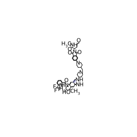 CNC(=O)C(CCC=O)N1C(=O)c2ccc(N3CCC(CN4CCC(N/C=C5/C=C(NC(=O)c6cccc(C(F)(F)F)n6)C(C(C)(C)O)=CC5=N)CC4)CC3)cc2C1=O